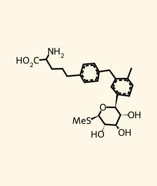 CS[C@H]1O[C@@H](c2ccc(C)c(Cc3ccc(CCCC(N)C(=O)O)cc3)c2)[C@H](O)[C@@H](O)[C@@H]1O